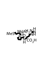 CSCCC(NC(C)=O)C(=O)N1CCCC1C(=O)NC(CCCNC(=N)N)C(=O)O